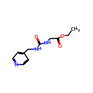 CCOC(=O)CNC(=O)NCc1ccncc1